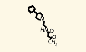 CC(=O)CC(=O)NCCCN1CCC(c2ccccc2)CC1